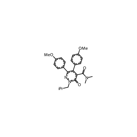 COc1ccc(-c2nn(CC(C)C)c(=O)c(C(=O)N(C)C)c2-c2ccc(OC)cc2)cc1